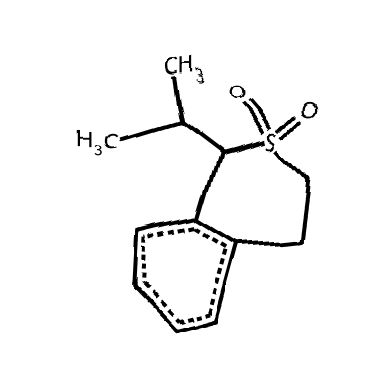 CC(C)C1c2ccccc2CCS1(=O)=O